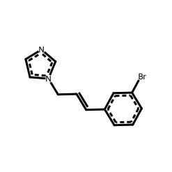 Brc1cccc(/C=C/Cn2ccnc2)c1